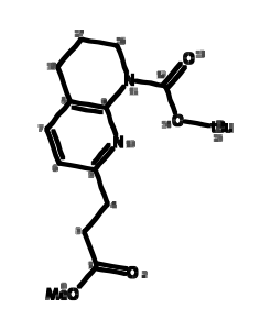 COC(=O)CCc1ccc2c(n1)N(C(=O)OC(C)(C)C)CCC2